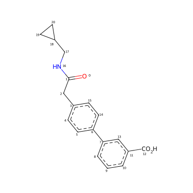 O=C(Cc1ccc(-c2cccc(C(=O)O)c2)cc1)NCC1CC1